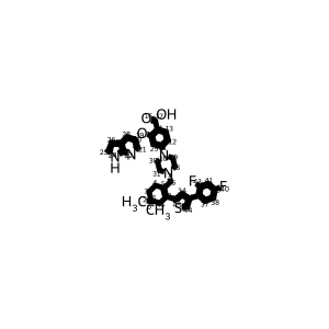 CC1(C)CCC(CN2CCN(c3ccc(C(=O)O)c(Oc4cnc5[nH]ccc5c4)c3)CC2)=C(c2cc(-c3ccc(F)cc3F)cs2)C1